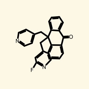 O=C1c2ccccc2C(Cc2ccncc2)(Cc2ccnc(F)c2)c2ccccc21